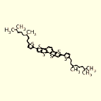 CC(C)CCCC(C)CCc1ccc(-c2cc3sc4c(ccc5c6sc(-c7ccc(CCC(C)CCCC(C)C)s7)cc6sc54)c3s2)s1